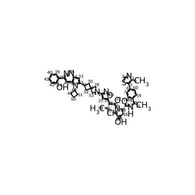 Cc1ncsc1-c1ccc([C@H](C)NC(=O)[C@@H]2C[C@@H](O)CN2C(=O)[C@@H](c2cc(N3CC4(CC(c5cc6nnc(-c7ccccc7O)cc6n5C5CCC5)C4)C3)no2)C(C)C)cc1